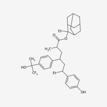 CCC(CC(CC(C)C(=O)OC1(CC)C2CC3CC(C2)CC1C3)c1ccc(C(C)(O)C(F)(F)F)cc1)c1ccc(O)cc1